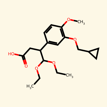 CCOC(OCC)C(CC(=O)O)c1ccc(OC)c(OCC2CC2)c1